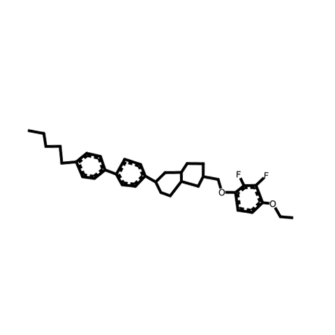 CCCCCc1ccc(-c2ccc(C3CCC4CC(COc5ccc(OCC)c(F)c5F)CCC4C3)cc2)cc1